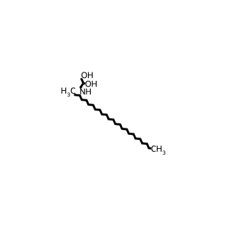 CCCCCCCCCCCCCCCCCCCCCCC(CC)NCC(O)CO